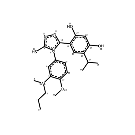 CCC[As](C)c1cc(-n2c(S)nnc2-c2cc(C(C)C)c(O)cc2O)ccc1OC